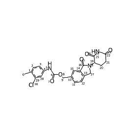 Cc1ccc(NC(=O)OCc2ccc3c(c2)C(=O)N([C@@H]2CCC(=O)NC2=O)C3)cc1Cl